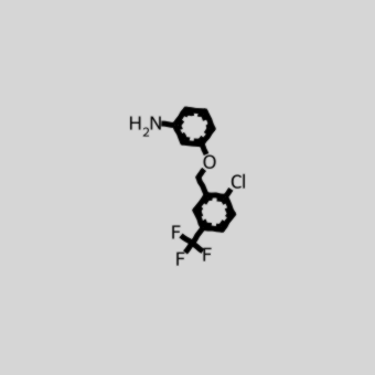 Nc1cccc(OCc2cc(C(F)(F)F)ccc2Cl)c1